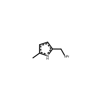 CCCCc1ccc(C)[nH]1